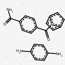 NC(=O)c1ccc(C(=O)n2c3ccc2cc3)cc1.Nc1ccc(N)cc1